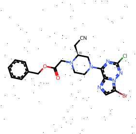 N#CC[C@H]1CN(c2nc(Cl)nn3c(Br)cnc23)CCN1CC(=O)OCc1ccccc1